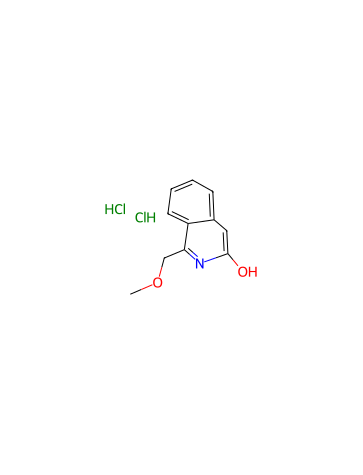 COCc1nc(O)cc2ccccc12.Cl.Cl